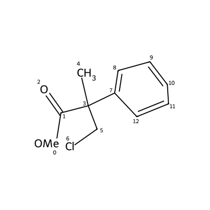 COC(=O)C(C)(CCl)c1ccccc1